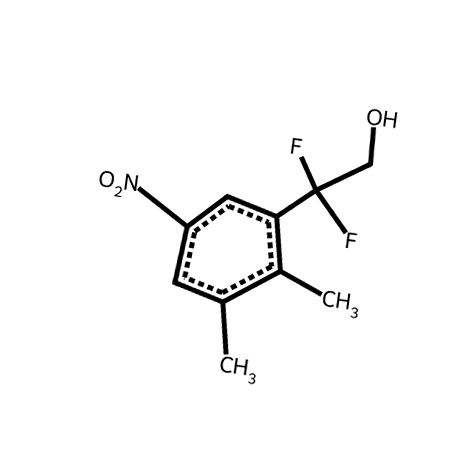 Cc1cc([N+](=O)[O-])cc(C(F)(F)CO)c1C